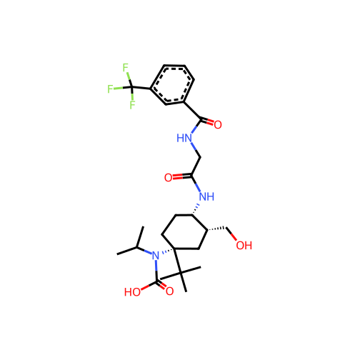 CC(C)N(C(=O)O)[C@]1(C(C)(C)C)CC[C@H](NC(=O)CNC(=O)c2cccc(C(F)(F)F)c2)[C@H](CO)C1